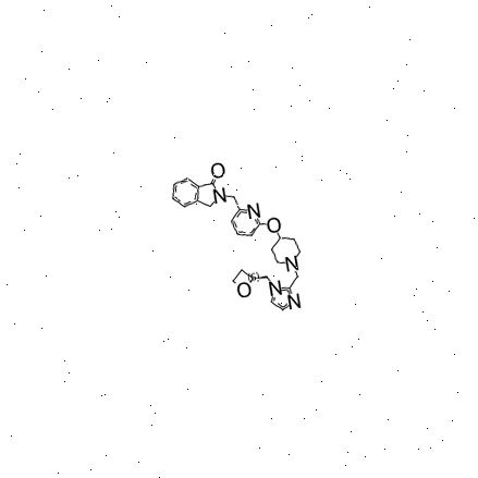 O=C1c2ccccc2CN1Cc1cccc(OC2CCN(Cc3nccn3C[C@@H]3CCO3)CC2)n1